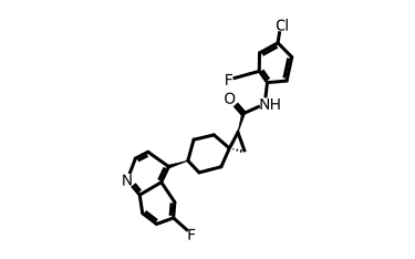 O=C(Nc1ccc(Cl)cc1F)[C@H]1C[C@]12CC[C@H](c1ccnc3ccc(F)cc31)CC2